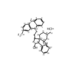 CC(CCN1c2ccccc2Sc2ccc(C(F)(F)F)cc21)[N+]1(C(CO)c2cccnc2)CCN(C)CC1O.Cl